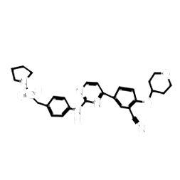 N#Cc1cc(-c2ccnc(Nc3ccc(CS(=O)(=O)N4CCCC4)cc3)n2)ccc1OC1CCOCC1